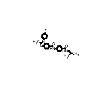 Cc1nc2ccc(C(=O)Nc3ccc(C(=O)NCC(C)C)cc3)cc2n1-c1ccc(F)cc1